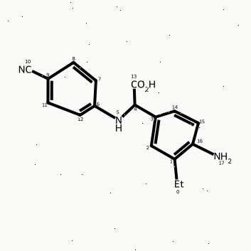 CCc1cc(C(Nc2ccc(C#N)cc2)C(=O)O)ccc1N